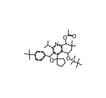 CC(=O)OC1c2nc(C(C)C)c3c(c2C(O[Si](C)(C)C(C)(C)C)CC1(C)C)C1(CCCC1)OC3c1ccc(C(C)(C)C)cc1